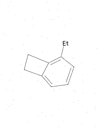 CCc1cccc2c1CC2